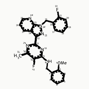 COc1ccccc1CNc1nc(-c2nn(Cc3ccccc3F)c3ncccc23)nc(C)c1F